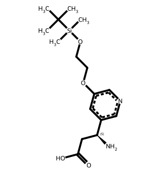 CC(C)(C)[Si](C)(C)OCCOc1cncc([C@@H](N)CC(=O)O)c1